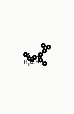 CC1(C)c2cc(-n3c4ccc(-c5ccccc5)cc4c4cc(-c5ccc6c7ccccc7c7ccccc7c6c5)ccc43)ccc2-c2c1ccc1c2sc2ccccc21